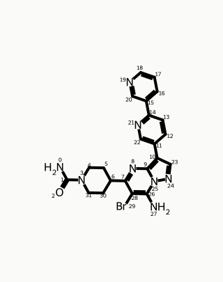 NC(=O)N1CCC(c2nc3c(-c4ccc(-c5cccnc5)nc4)cnn3c(N)c2Br)CC1